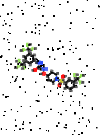 O=C(NOC1CCN(S(=O)(=O)c2cccc(C(F)(F)F)c2)CC1)Nc1cc(C(F)(F)F)cc(C(F)(F)F)c1